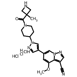 COc1cc(-c2cnn(C3CCN(C(=O)C4(C)CNC4)CC3)c2)cn2ncc(C#N)c12.Cl.Cl.Cl